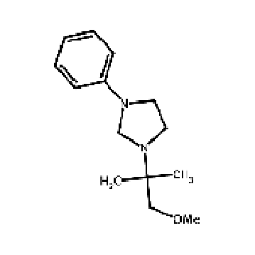 COCC(C)(C)N1CCN(c2ccccc2)C1